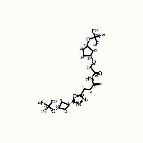 C=C(CCc1nnc([C@H]2C[C@@H](OC(F)(F)F)C2)o1)NC(=O)CO[C@H]1CC[C@@H](OC(F)(F)F)C1